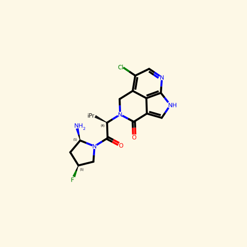 CC(C)[C@H](C(=O)N1C[C@@H](F)C[C@H]1N)N1Cc2c(Cl)cnc3[nH]cc(c23)C1=O